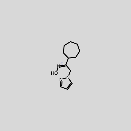 O/N=C(\Cn1cccn1)C1CCCCCC1